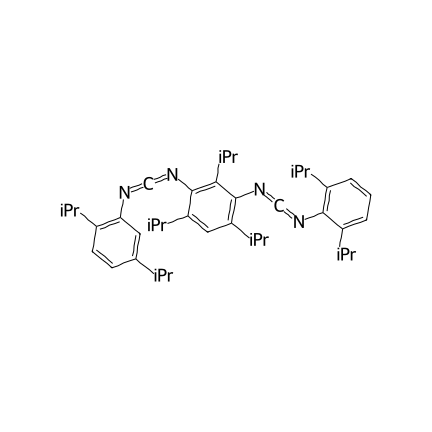 CC(C)c1ccc(C(C)C)c(N=C=Nc2c(C(C)C)cc(C(C)C)c(N=C=Nc3c(C(C)C)cccc3C(C)C)c2C(C)C)c1